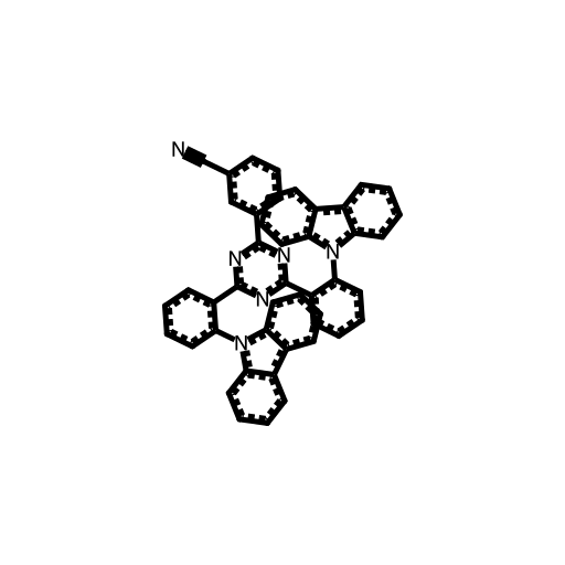 N#Cc1cccc(-c2nc(-c3ccccc3-n3c4ccccc4c4ccccc43)nc(-c3ccccc3-n3c4ccccc4c4ccccc43)n2)c1